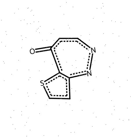 O=c1ccnnc2ccsc12